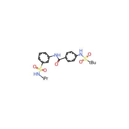 CC(C)NS(=O)(=O)c1cccc(NC(=O)c2ccc(NS(=O)(=O)C(C)(C)C)cc2)c1